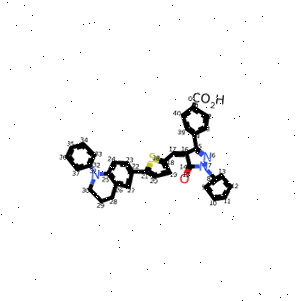 O=C(O)c1ccc(C2=NN(c3ccccc3)C(=O)/C2=C\c2ccc(-c3ccc4c(c3)CCCN4c3ccccc3)s2)cc1